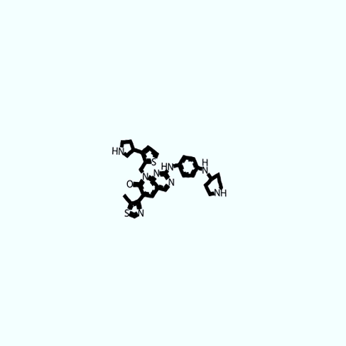 Cc1scnc1-c1cc2cnc(Nc3ccc(NC4CCNCC4)cc3)nc2n(Cc2sccc2C2CCNC2)c1=O